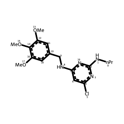 CCCNc1nc(Cl)cc(NCc2cc(OC)c(OC)c(OC)c2)n1